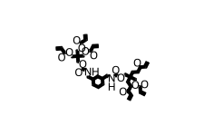 C=CC(=O)CCC(CCC(=O)C=C)(COC(=O)C=C)COC(=O)NCC1CCCC(CNC(=O)OCC(COC(=O)C=C)(COC(=O)C=C)COC(=O)C=C)C1